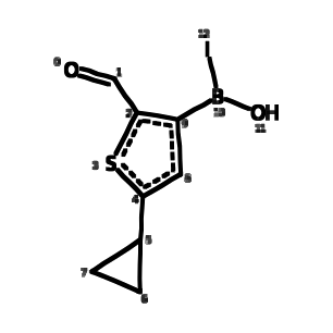 O=Cc1sc(C2CC2)cc1B(O)I